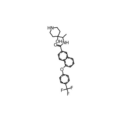 CC(NC(=O)c1ccc2c(Oc3ccc(C(F)(F)F)cc3)cccc2c1)C1(O)CCNCC1